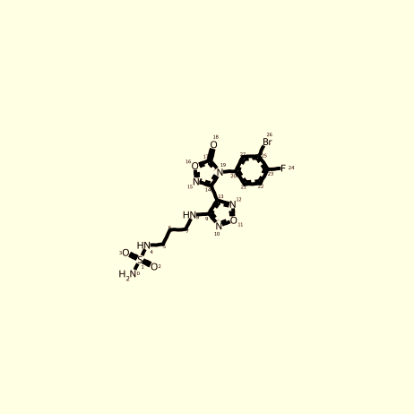 NS(=O)(=O)NCCCNc1nonc1-c1noc(=O)n1-c1ccc(F)c(Br)c1